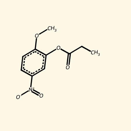 CCC(=O)Oc1cc([N+](=O)[O-])ccc1OC